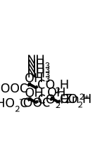 N.N.N.N.O=C(O)CC(O)C(=O)O.O=C(O)CC(O)C(=O)[O-].O=C(O)CC(O)C(=O)[O-].[Zn+2]